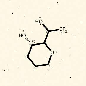 OC(C1OCCC[C@@H]1O)C(F)(F)F